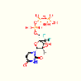 O=c1ccn([C@@H]2O[C@]3(COP(=O)(O)OP(=O)(O)OP(=O)(O)O)[C@@H](O)[C@H]2OC3(F)F)c(=O)[nH]1